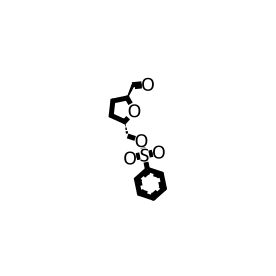 O=C[C@@H]1CC[C@@H](COS(=O)(=O)c2ccccc2)O1